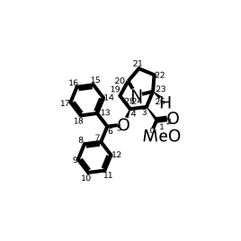 COC(=O)[C@H]1[C@@H](OC(c2ccccc2)c2ccccc2)CC2CC[C@H]1N2C